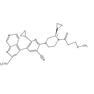 C=Cc1cc(-c2cc(C#N)c(N3CCN(C(=O)CCOC)[C@H](C4CC4)C3)nc2C2CC2)c2ccncc2n1